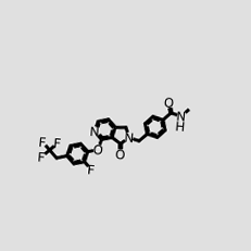 CNC(=O)c1ccc(CN2Cc3ccnc(Oc4ccc(CC(F)(F)F)cc4F)c3C2=O)cc1